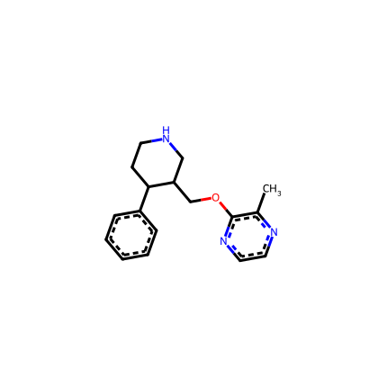 Cc1nccnc1OCC1CNCCC1c1ccccc1